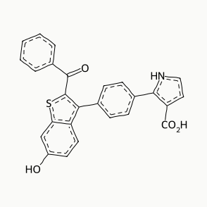 O=C(O)c1cc[nH]c1-c1ccc(-c2c(C(=O)c3ccccc3)sc3cc(O)ccc23)cc1